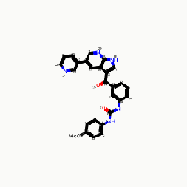 COc1ccc(NC(=O)Nc2cccc(C(=O)c3c[nH]c4ncc(-c5cccnc5)cc34)c2)cc1